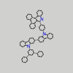 c1ccc(-c2cc(-c3ccccc3)cc(-n3c4ccccc4c4ccc(-c5ccc6c7ccccc7n(-c7ccc(-c8nc9ccccc9c9c%10ccccc%10c%10ccccc%10c89)cc7)c6c5)cc43)c2)cc1